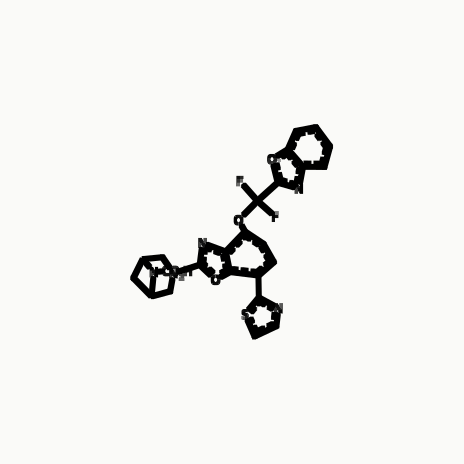 O=C(O)N1C2CC1CN(c1nc3c(OC(F)(F)c4nc5ccccc5o4)ccc(-c4nccs4)c3o1)C2